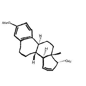 COc1ccc2c(c1)CC[C@@H]1[C@@H]2CC[C@]2(C)[C@H](OC(C)=O)C=C[C@@H]12